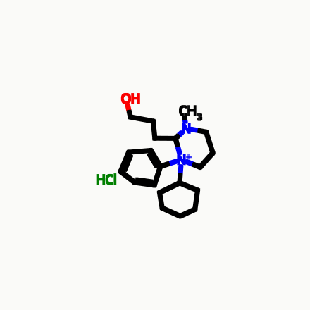 CN1CCC[N+](c2ccccc2)(C2CCCCC2)C1CCCO.Cl